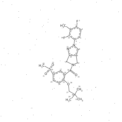 Cc1c(F)ccc(-n2cc3c(n2)CN(C(=O)c2cc(S(C)(=O)=O)ccc2OCC(C)(C)C)C3)c1F